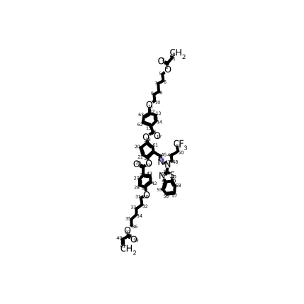 C=CC(=O)OCCCCCCOc1ccc(C(=O)Oc2ccc(OC(=O)c3ccc(OCCCCCCOC(=O)C=C)cc3)c(/C=N/N(CCCC(F)(F)F)c3nc4ccccc4s3)c2)cc1